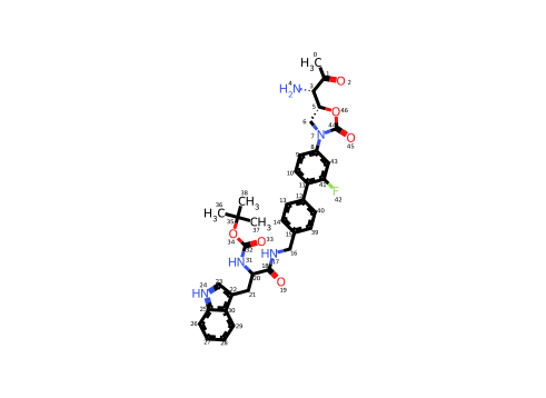 CC(=O)[C@@H](N)[C@H]1CN(c2ccc(-c3ccc(CNC(=O)C(Cc4c[nH]c5ccccc45)NC(=O)OC(C)(C)C)cc3)c(F)c2)C(=O)O1